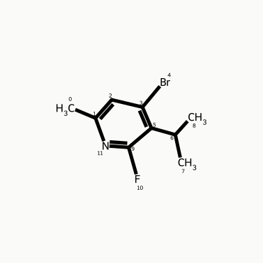 Cc1cc(Br)c(C(C)C)c(F)n1